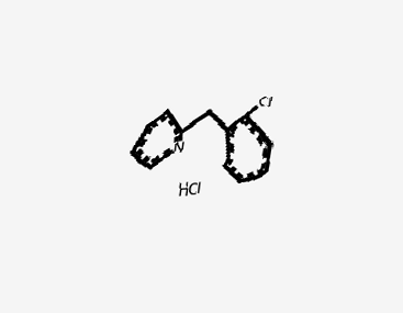 Cl.Clc1ccccc1Cc1ccccn1